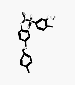 CCN(Sc1ccc(OCc2ccc(C)cc2)cc1)S(=O)(=O)c1ccc(C)c(C(=O)O)c1